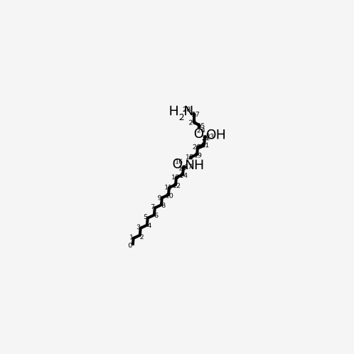 CCCCCCCCCCCCCCCC(=O)NCCC=CC(O)OCCCN